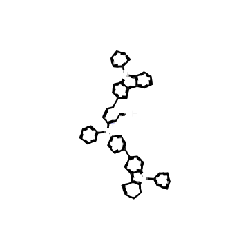 C=C/C=C(\C=C/Cc1ccc2c(c1)c1ccccc1n2-c1ccccc1)N(c1ccccc1)c1ccc(-c2ccc3c(c2)c2c(n3-c3ccccc3)CCC=C2)cc1